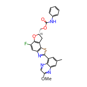 COc1cnc2c(-c3nc4cc(F)c5c(c4s3)C[C@@H](COC(=O)Nc3ccccc3)O5)cc(C)cc2n1